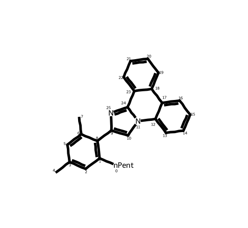 CCCCCc1cc(C)cc(C)c1-c1cn2c3ccccc3c3ccccc3c2n1